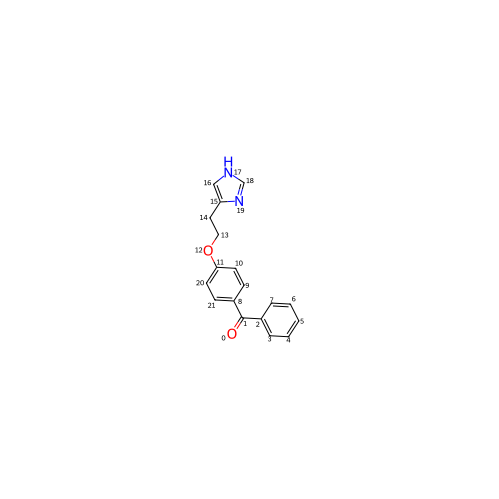 O=C(c1ccccc1)c1ccc(OCCc2c[nH]cn2)cc1